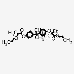 C=CCOC(=O)C(C)(CC)Oc1ccc(C(C)(C)c2ccc(OC(=O)C(C)OCC=C)cc2)cc1